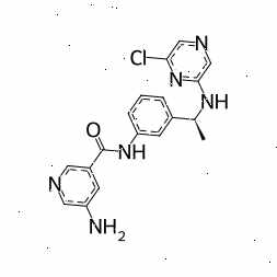 C[C@H](Nc1cncc(Cl)n1)c1cccc(NC(=O)c2cncc(N)c2)c1